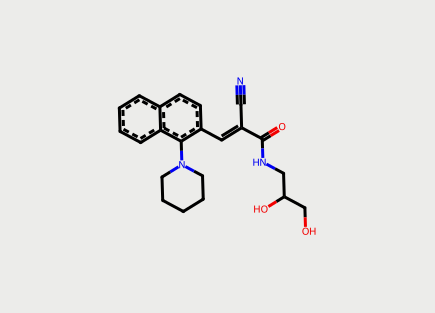 N#C/C(=C\c1ccc2ccccc2c1N1CCCCC1)C(=O)NCC(O)CO